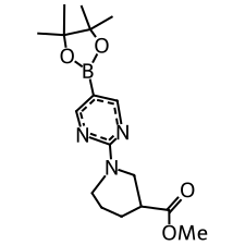 COC(=O)C1CCCN(c2ncc(B3OC(C)(C)C(C)(C)O3)cn2)C1